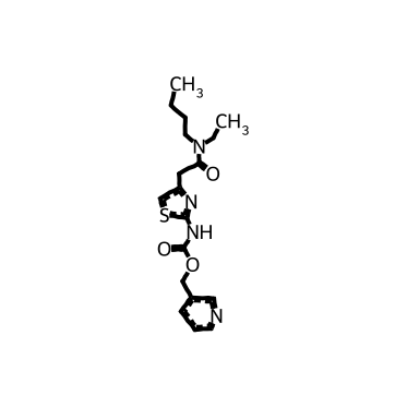 CCCCN(CC)C(=O)Cc1csc(NC(=O)OCc2cccnc2)n1